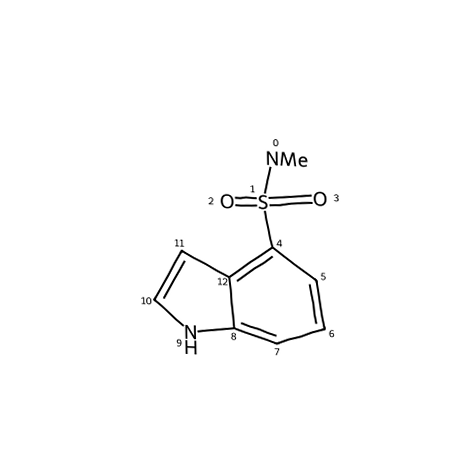 CNS(=O)(=O)c1cccc2[nH]ccc12